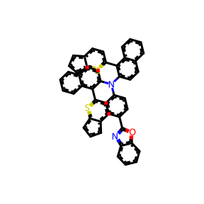 c1cc2ccc(-c3c(N(c4ccc(-c5nc6ccccc6o5)cc4)c4ccc5ccccc5c4-c4ccc5cccc-5s4)ccc4ccccc34)sc-2c1